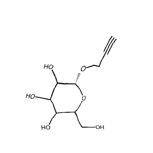 C#CCO[C@@H]1OC(CO)C(O)C(O)C1O